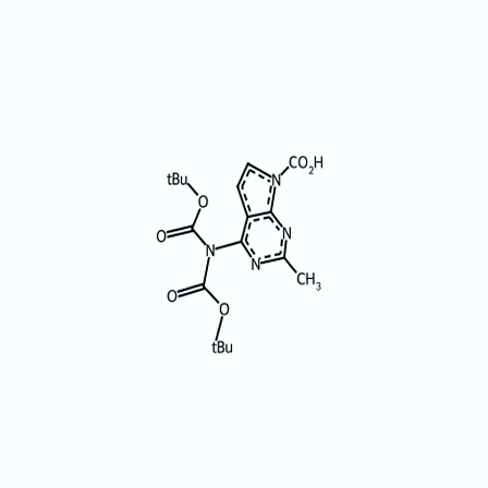 Cc1nc(N(C(=O)OC(C)(C)C)C(=O)OC(C)(C)C)c2ccn(C(=O)O)c2n1